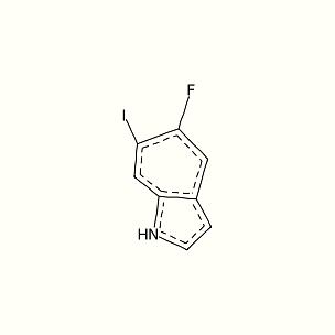 Fc1cc2cc[nH]c2cc1I